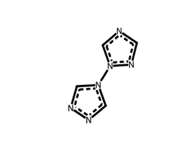 c1ncn(-n2cnnc2)n1